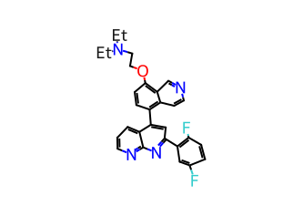 CCN(CC)CCOc1ccc(-c2cc(-c3cc(F)ccc3F)nc3ncccc23)c2ccncc12